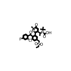 CCS(=O)(=O)Cc1ccc(C(=O)c2ccc(F)cc2Cl)c(-c2nn(C)c(=O)cc2C(C)N(C(=O)O)C(C)(C)C)c1